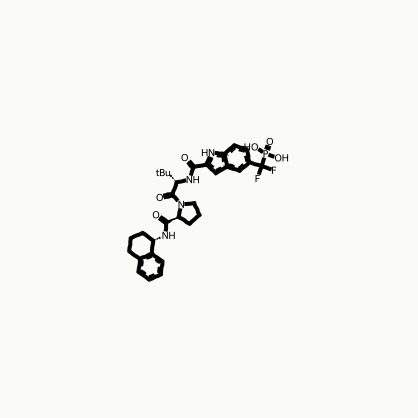 CC(C)(C)[C@H](NC(=O)c1cc2cc(C(F)(F)P(=O)(O)O)ccc2[nH]1)C(=O)N1CCC[C@H]1C(=O)N[C@H]1CCCc2ccccc21